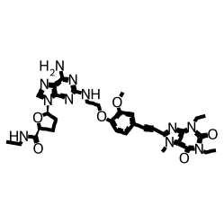 CCNC(=O)[C@@H]1CC[C@H](n2cnc3c(N)nc(NCCOc4ccc(C#Cc5nc6c(c(=O)n(CC)c(=O)n6CC)n5C)cc4OC)nc32)O1